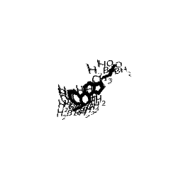 BC(B)(CC[C@H]1CC[C@H]2[C@H]3[C@H](CC[C@]12C)[C@@]1(C)CC[C@@H](O)C[C@H]1C(B)(C(B)(B)C(B)(B)B)[C@@]3(B)O)C(=O)O